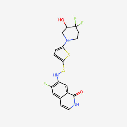 O=c1[nH]ccc2cc(F)c(NSc3ccc(N4CCC(F)(F)C(O)C4)s3)cc12